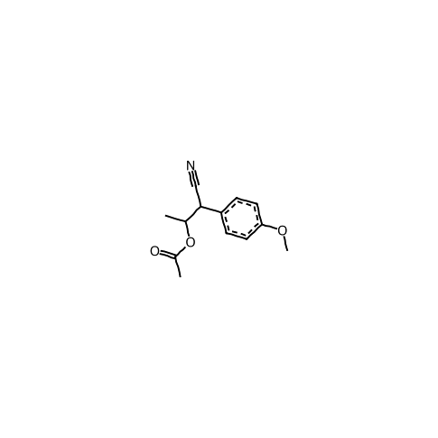 COc1ccc(C(C#N)C(C)OC(C)=O)cc1